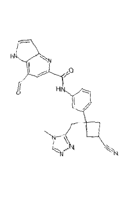 Cn1cnnc1CC1(c2cccc(NC(=O)c3cc(C=O)c4[nH]ccc4n3)c2)CC(C#N)C1